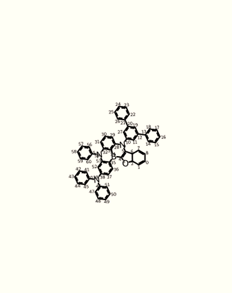 C1=CC2OC3=C(C2C=C1)N(c1cc(-c2ccccc2)cc(-c2ccccc2)c1)c1cccc2c1B3c1ccc(N(c3ccccc3)c3ccccc3)cc1N2c1ccccc1